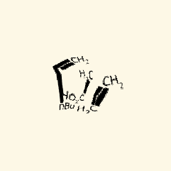 C=C.C=CCCCC.CC(=O)O